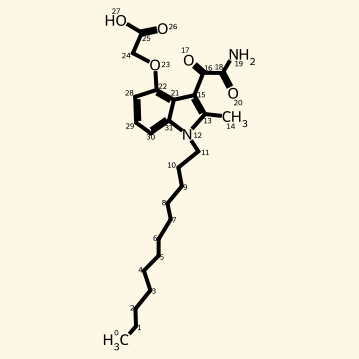 CCCCCCCCCCCCn1c(C)c(C(=O)C(N)=O)c2c(OCC(=O)O)cccc21